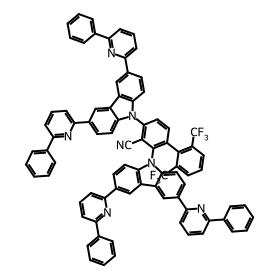 N#Cc1c(-n2c3ccc(-c4cccc(-c5ccccc5)n4)cc3c3cc(-c4cccc(-c5ccccc5)n4)ccc32)ccc(-c2c(C(F)(F)F)cccc2C(F)(F)F)c1-n1c2ccc(-c3cccc(-c4ccccc4)n3)cc2c2cc(-c3cccc(-c4ccccc4)n3)ccc21